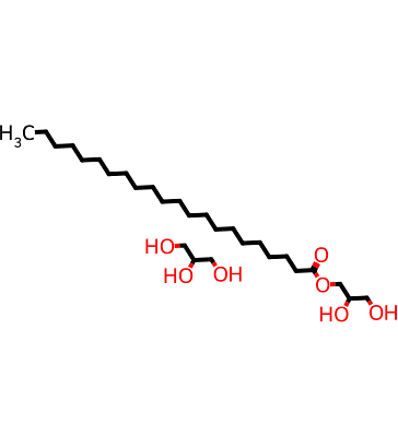 CCCCCCCCCCCCCCCCCCCCCC(=O)OCC(O)CO.OCC(O)CO